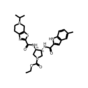 CCOC(=O)N1C[C@@H](NC(=O)c2cc3cc(C)ccc3[nH]2)[C@H](NC(=O)c2nc3c(s2)CN(C(C)C)CC3)C1